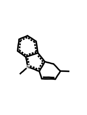 CC1C=Cc2c(c3ccccc3n2C)C1